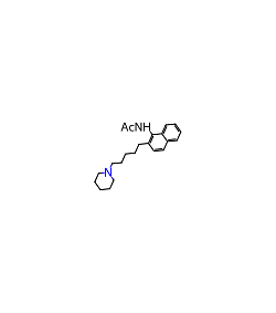 CC(=O)Nc1c(CCCCCN2CCCCC2)ccc2ccccc12